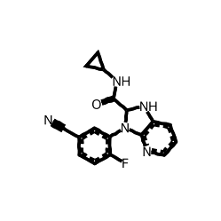 N#Cc1ccc(F)c(N2c3ncccc3NC2C(=O)NC2CC2)c1